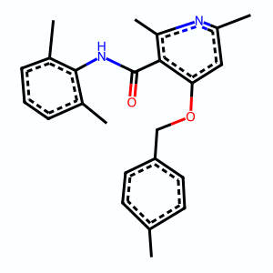 Cc1ccc(COc2cc(C)nc(C)c2C(=O)Nc2c(C)cccc2C)cc1